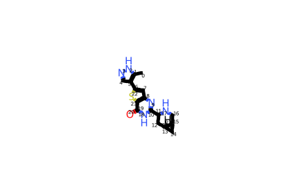 Cc1[nH]ncc1-c1cc2nc(C3C[C@H]4C[C@H]4CN3)[nH]c(=O)c2s1